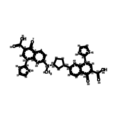 CN(c1ccc2c(=O)c(C(=O)O)cn(-c3nccs3)c2n1)[C@@H]1CCN(c2ccc3c(=O)c(C(=O)O)cn(-c4nccs4)c3n2)C1